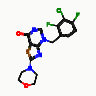 O=c1ncn(Cc2ccc(F)c(Cl)c2F)c2nc(N3CCOCC3)sc12